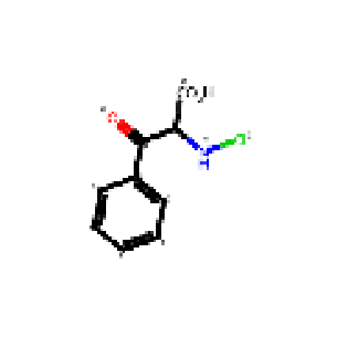 O=C(O)C(NCl)C(=O)c1ccccc1